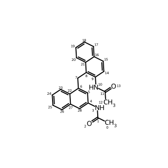 CC(=O)Nc1cc(Cc2c(NC(C)=O)ccc3ccccc23)c2ccccc2c1